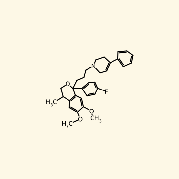 COc1cc2c(cc1OC)C(CCCN1CC=C(c3ccccc3)CC1)(c1ccc(F)cc1)OCC2C